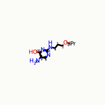 CC(C)OCCCNc1ncc(N)c(O)n1